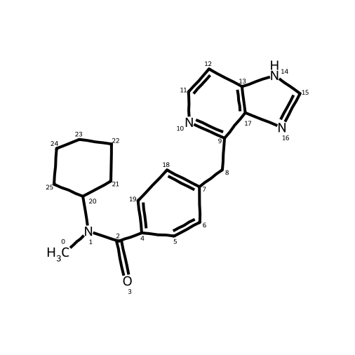 CN(C(=O)c1ccc(Cc2nccc3[nH]cnc23)cc1)C1CCCCC1